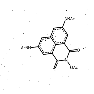 CC(=O)Nc1cc2c3c(cc(NC(C)=O)cc3c1)C(=O)N(OC(C)=O)C2=O